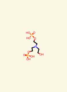 O=P(O)(O)OCCN(CCO)CCOP(=O)(O)O